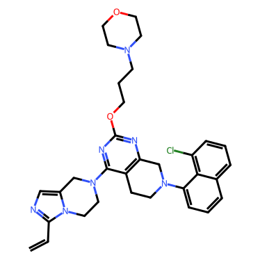 C=Cc1ncc2n1CCN(c1nc(OCCCN3CCOCC3)nc3c1CCN(c1cccc4cccc(Cl)c14)C3)C2